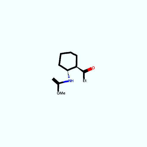 C=C(N[C@@H]1CCCC[C@H]1C(=O)CC)OC